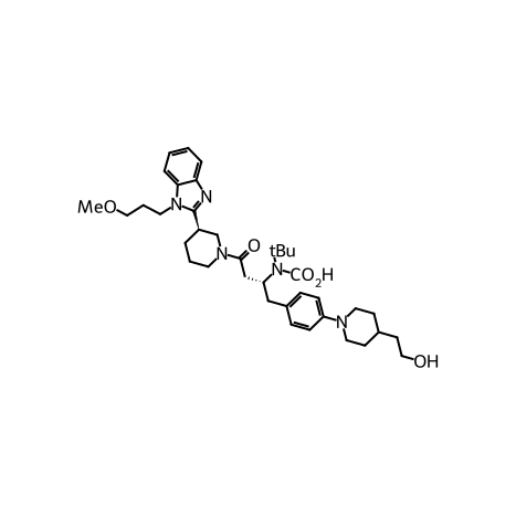 COCCCn1c([C@@H]2CCCN(C(=O)C[C@@H](Cc3ccc(N4CCC(CCO)CC4)cc3)N(C(=O)O)C(C)(C)C)C2)nc2ccccc21